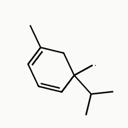 [CH2]C1(C(C)C)C=CC=C(C)C1